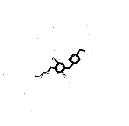 CCc1ccc(Cc2cc(Br)c(COCOC)cc2Cl)cc1